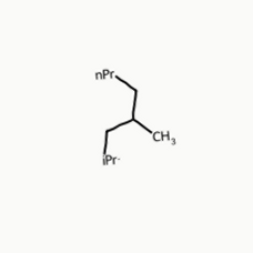 CCCCC(C)C[C](C)C